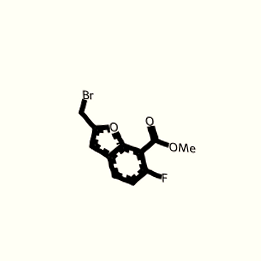 COC(=O)c1c(F)ccc2cc(CBr)oc12